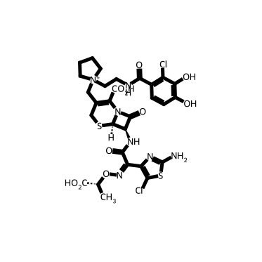 C[C@@H](O/N=C(\C(=O)N[C@@H]1C(=O)N2C(C(=O)O)=C(C[N+]3(CCNC(=O)c4ccc(O)c(O)c4Cl)CCCC3)CS[C@H]12)c1nc(N)sc1Cl)C(=O)O